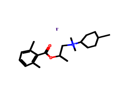 Cc1cccc(C)c1C(=O)OC(C)C[N+](C)(C)C1CCC(C)CC1.[I-]